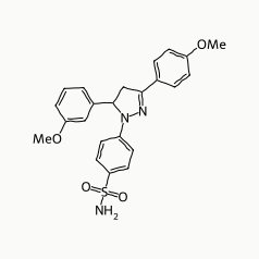 COc1ccc(C2=NN(c3ccc(S(N)(=O)=O)cc3)C(c3cccc(OC)c3)C2)cc1